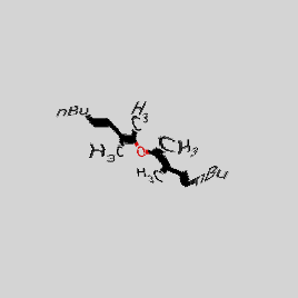 CCCC/C=C/C(C)=C(\C)O/C(C)=C(C)/C=C/CCCC